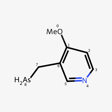 COc1ccncc1C[AsH2]